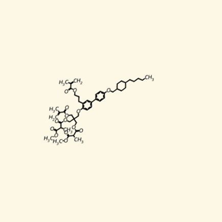 C=C(C)C(=O)OCCCc1cc(-c2ccc(OCC3CCC(CCCCC)CC3)cc2)ccc1OCC(COC(=O)C(=C)C)(COC(=O)C(C)C(=O)OC)COC(=O)C(C)C(=O)OC